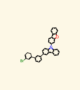 BrC1=CCCC(c2cccc(-c3ccc4c(c3)c3ccccc3n4-c3ccc4c(c3)oc3ccccc34)c2)=C1